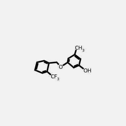 Cc1cc(O)cc(OCc2ccccc2C(F)(F)F)c1